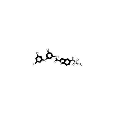 CS(=O)(=O)Nc1ccc2sc(C(=O)Nc3cc(Cl)cc(Oc4cc(Cl)cc(Cl)c4)c3)cc2c1